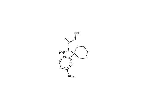 CN(C=N)C(=N)C1(c2cccc(N)c2)CCCCC1